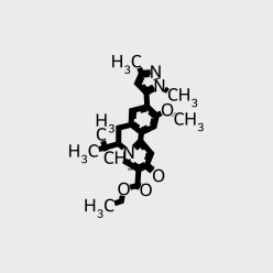 CCOC(=O)c1cn2c(cc1=O)-c1cc(OC)c(-c3cc(C)nn3C)cc1CC2C(C)(C)C